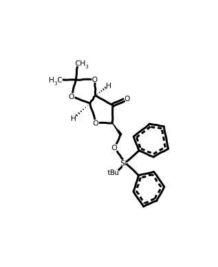 CC1(C)O[C@@H]2O[C@H](CO[Si](c3ccccc3)(c3ccccc3)C(C)(C)C)C(=O)[C@@H]2O1